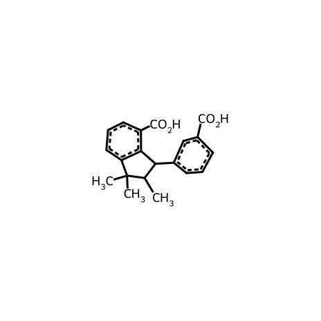 CC1C(c2cccc(C(=O)O)c2)c2c(C(=O)O)cccc2C1(C)C